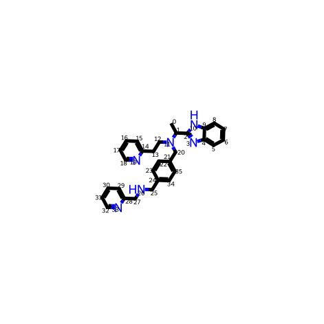 CC(c1nc2ccccc2[nH]1)N(CCc1ccccn1)Cc1ccc(CNCc2ccccn2)cc1